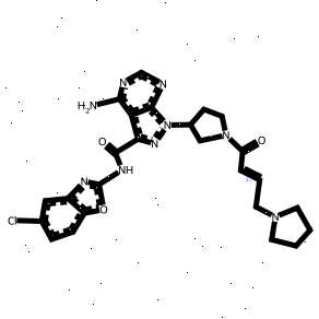 Nc1ncnc2c1c(C(=O)Nc1nc3cc(Cl)ccc3o1)nn2C1CCN(C(=O)/C=C/CN2CCCC2)C1